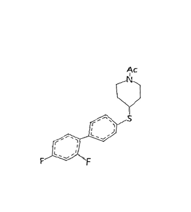 CC(=O)N1CCC(Sc2ccc(-c3ccc(F)cc3F)cc2)CC1